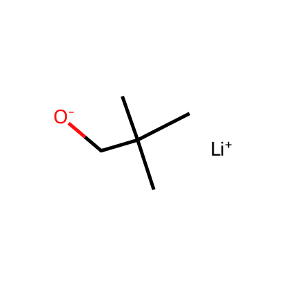 CC(C)(C)C[O-].[Li+]